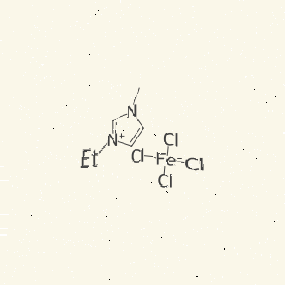 CC[n+]1ccn(C)c1.[Cl][Fe-]([Cl])([Cl])[Cl]